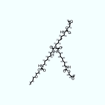 CCCCOCCOC(=O)NCCCCCCNC(=O)N(CCCCCCNC(=O)OCC1CO1)C(=O)NCCCCCCNC(=O)OCC1CO1